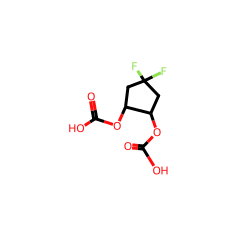 O=C(O)OC1CC(F)(F)CC1OC(=O)O